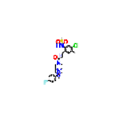 Cc1cc(/C=C/C(=O)N2CC3CN(C)CC(C2)N3Cc2ccc(F)cc2)c(NS(C)(=O)=O)cc1Cl